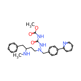 CNC(CCN(Cc1ccc(-c2ccccn2)cc1)NC(=O)NC(=O)OC)Cc1ccccc1